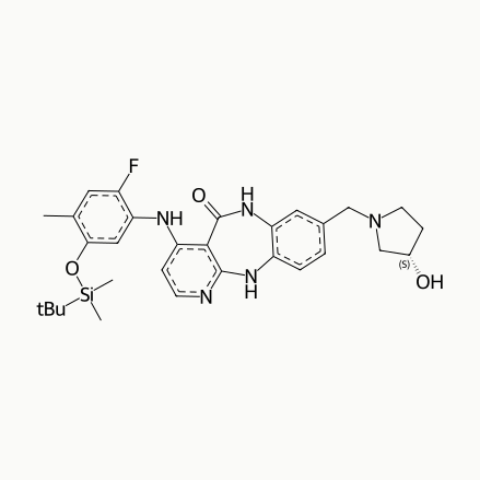 Cc1cc(F)c(Nc2ccnc3c2C(=O)Nc2cc(CN4CC[C@H](O)C4)ccc2N3)cc1O[Si](C)(C)C(C)(C)C